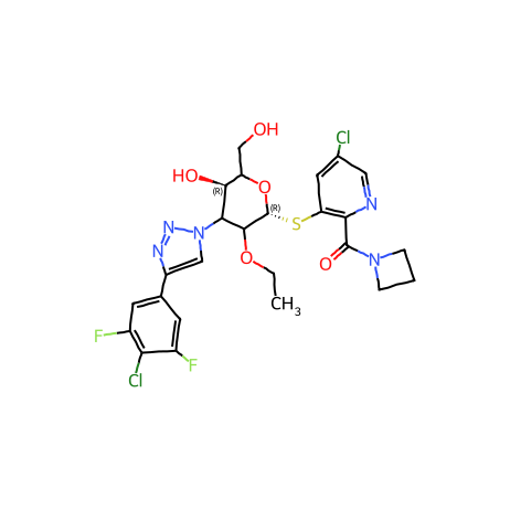 CCOC1C(n2cc(-c3cc(F)c(Cl)c(F)c3)nn2)[C@@H](O)C(CO)O[C@@H]1Sc1cc(Cl)cnc1C(=O)N1CCC1